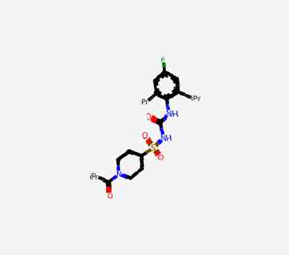 CC(C)C(=O)N1CCC(S(=O)(=O)NC(=O)Nc2c(C(C)C)cc(F)cc2C(C)C)CC1